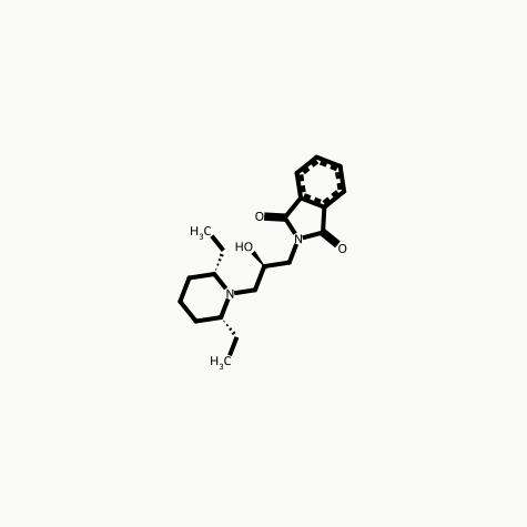 CC[C@@H]1CCC[C@H](CC)N1C[C@@H](O)CN1C(=O)c2ccccc2C1=O